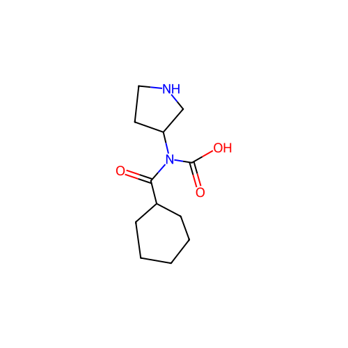 O=C(O)N(C(=O)C1CCCCC1)C1CCNC1